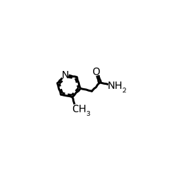 Cc1ccncc1CC(N)=O